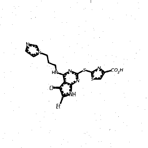 CCc1[nH]c2nc(Sc3nc(C(=O)O)cs3)nc(NCCCn3ccnc3)c2c1Cl